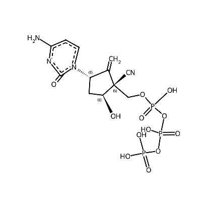 C=C1[C@@H](n2ccc(N)nc2=O)C[C@H](O)[C@@]1(C#N)COP(=O)(O)OP(=O)(O)OP(=O)(O)O